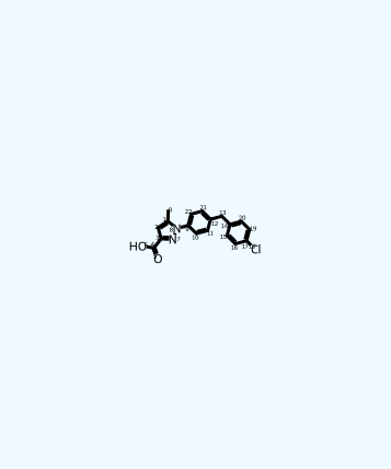 Cc1cc(C(=O)O)nn1-c1ccc(Cc2ccc(Cl)cc2)cc1